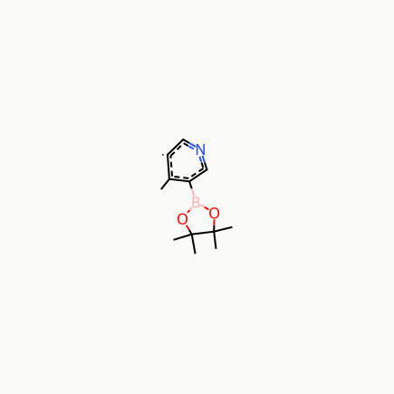 Cc1[c]cncc1B1OC(C)(C)C(C)(C)O1